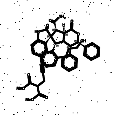 COC(=O)C(CC#Cc1ccc2c(c1)[C@]1(C(=O)N2)[C@H](C(N)=O)[C@H]2C(=O)O[C@H](c3ccccc3)[C@H](c3ccccc3)N2[C@@H]1c1ccccc1OCCO)C(=O)OC